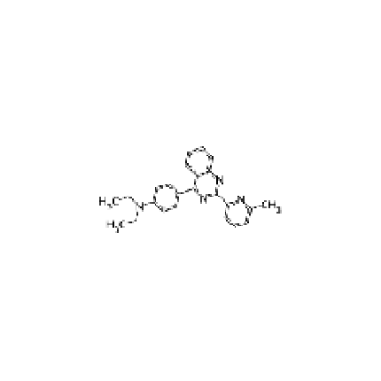 CCN(CC)c1ccc(-c2nc(-c3cccc(C)n3)nc3ccccc23)cc1